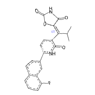 CC(C)/C(=C1/OC(=O)NC1=O)c1ccc(-c2ccc3cccc(F)c3c2)[nH]c1=O